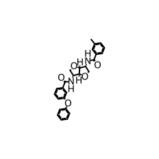 Cc1cccc(C(=O)N[C@H]2CO[C@H]3[C@@H]2OC[C@@H]3NC(=O)c2cccc(Oc3ccccc3)c2)c1